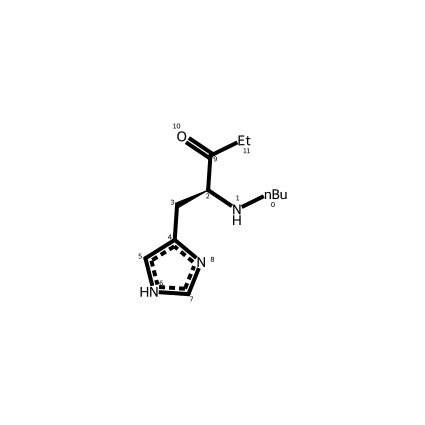 CCCCN[C@@H](Cc1c[nH]cn1)C(=O)CC